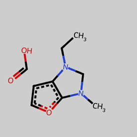 CCN1CN(C)c2occc21.O=CO